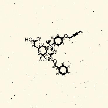 CC#CCOc1ccc(S(=O)(=O)N2C[C@H](CC(=O)O)SC(C)(C)[C@@H]2C(=O)NOCc2ccccc2)cc1